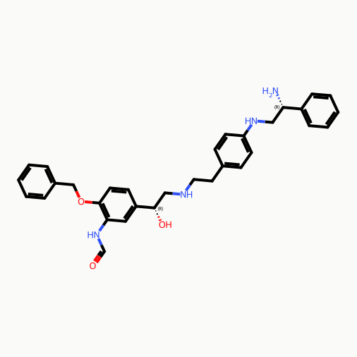 N[C@@H](CNc1ccc(CCNC[C@H](O)c2ccc(OCc3ccccc3)c(NC=O)c2)cc1)c1ccccc1